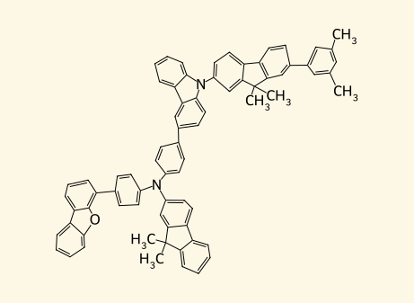 Cc1cc(C)cc(-c2ccc3c(c2)C(C)(C)c2cc(-n4c5ccccc5c5cc(-c6ccc(N(c7ccc(-c8cccc9c8oc8ccccc89)cc7)c7ccc8c(c7)C(C)(C)c7ccccc7-8)cc6)ccc54)ccc2-3)c1